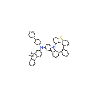 C[Si]1(C)c2ccccc2-c2ccc(N(c3ccc(-c4ccccc4)cc3)c3ccc4c(c3)c3cccc5c6ccccc6c6cccc7sc8cccc(c8c76)n4c53)cc21